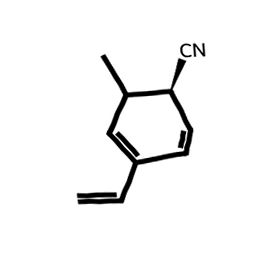 C=CC1=CC(C)[C@@H](C#N)C=C1